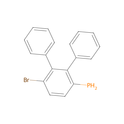 Pc1ccc(Br)c(-c2ccccc2)c1-c1ccccc1